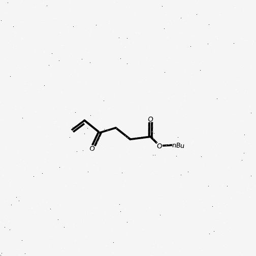 C=CC(=O)CCC(=O)OCCCC